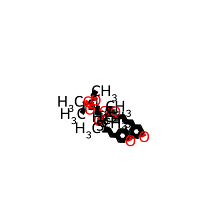 CCO[Si](CC[Si](C)(O[Si](C)(C)CCCC1CCC2OC2C1)O[Si](C)(C)O[SiH2]CCCC1CCC2OC2C1)(OCC)OCC